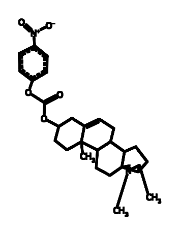 CC1C2CCC3C4CC=C5CC(OC(=O)Oc6ccc([N+](=O)[O-])cc6)CCC5(C)C4CCC32CN1C